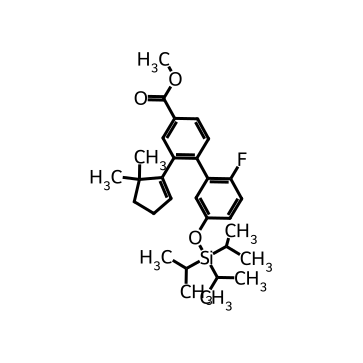 COC(=O)c1ccc(-c2cc(O[Si](C(C)C)(C(C)C)C(C)C)ccc2F)c(C2=CCCC2(C)C)c1